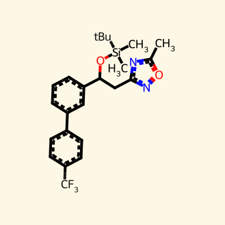 Cc1nc(CC(O[Si](C)(C)C(C)(C)C)c2cccc(-c3ccc(C(F)(F)F)cc3)c2)no1